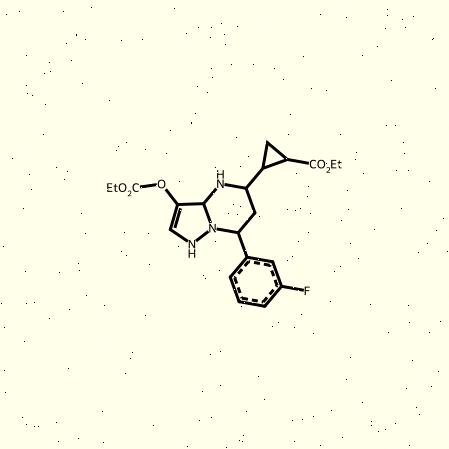 CCOC(=O)OC1=CNN2C1NC(C1CC1C(=O)OCC)CC2c1cccc(F)c1